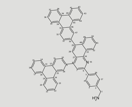 NCc1ccc(-c2cc(-c3ccc4c5ccccc5c5ccccc5c4c3)c3cc(-c4ccc5c6ccccc6c6ccccc6c5c4)c4ccccc4c3n2)cc1